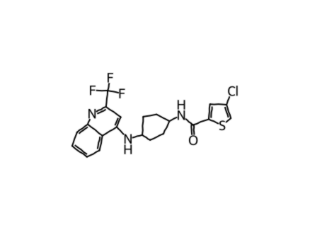 O=C(NC1CCC(Nc2cc(C(F)(F)F)nc3ccccc23)CC1)c1cc(Cl)cs1